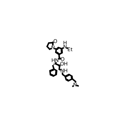 CCNc1cc(C(=O)N[C@@H](Cc2ccccc2)[C@H](O)CNCc2ccc(CN(C)C)cc2)cc(N2CCCC2=O)c1